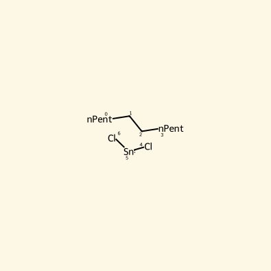 [CH2]CCCCCCCCCCC.[Cl][Sn][Cl]